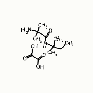 CC(C)(CO)NC(=O)C(C)(C)N.O=C(O)C(=O)O